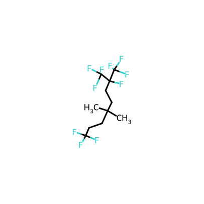 CC(C)(CCC(F)(F)F)CCC(F)(C(F)(F)F)C(F)(F)F